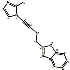 Cc1nccn1C#CCCc1nc2ccccc2o1